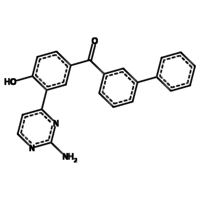 Nc1nccc(-c2cc(C(=O)c3cccc(-c4ccccc4)c3)ccc2O)n1